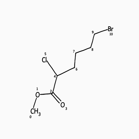 COC(=O)C(Cl)CCCCBr